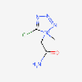 C[N+]1(CC(N)=O)N=NN=C1Cl